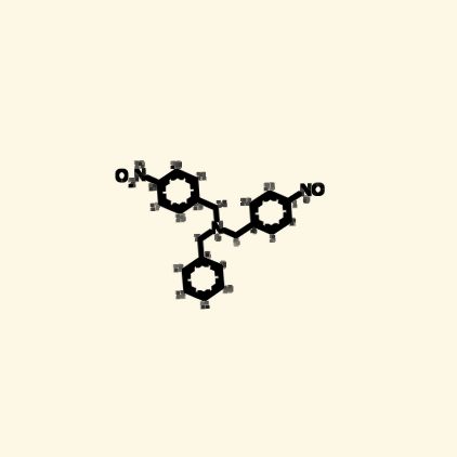 O=Nc1ccc(CN(Cc2ccccc2)Cc2ccc([N+](=O)[O-])cc2)cc1